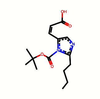 CCCCc1ncc(/C=C\C(=O)O)n1C(=O)OC(C)(C)C